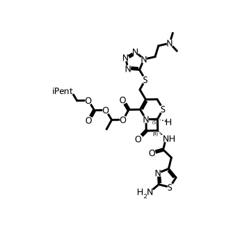 CCCC(C)COC(=O)OC(C)OC(=O)C1=C(CSc2nnnn2CCN(C)C)CS[C@H]2[C@H](NC(=O)Cc3csc(N)n3)C(=O)N12